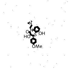 COc1ccc([C@@H]2Sc3c(O)cccc3N(CCN(C)C)C(=O)[C@@H]2O)cc1